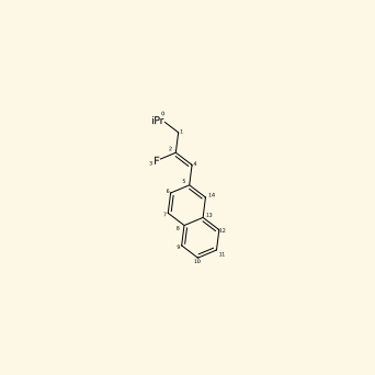 CC(C)C/C(F)=C/c1ccc2ccccc2c1